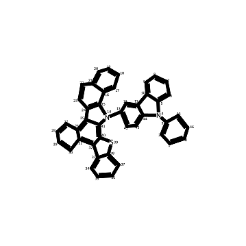 c1ccc(-n2c3ccccc3c3cc(-n4c5c6ccccc6ccc5c5c6ccccc6c6c7ccccc7sc6c54)ccc32)cc1